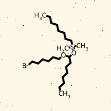 CCCCCCCC[Si](C)(C)OC(CCCCCCC)OCCCCCCBr